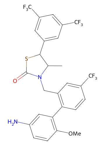 COc1ccc(N)cc1-c1ccc(C(F)(F)F)cc1CN1C(=O)SC(c2cc(C(F)(F)F)cc(C(F)(F)F)c2)C1C